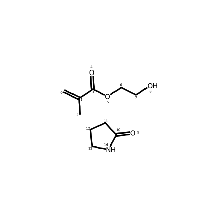 C=C(C)C(=O)OCCO.O=C1CCCN1